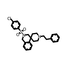 O=S(=O)(c1ccc(Cl)cc1)N1Cc2ccccc2C2(CCN(CCc3ccccc3)CC2)C1